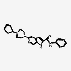 O=C(Nc1ccccc1)c1cc2cc(N3CCN(C4CCCC4)CC3)ncc2[nH]1